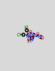 CCOc1ncccc1C1=N[C@@H](c2ccc(Cl)cc2)[C@@H](c2ccc(Cl)cc2)N1C(=O)N1CCN(CC(=O)N2CCOCC2)CC1